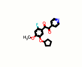 COc1cc(F)c(C(=O)C(=O)c2ccncc2)cc1OC1CCCC1